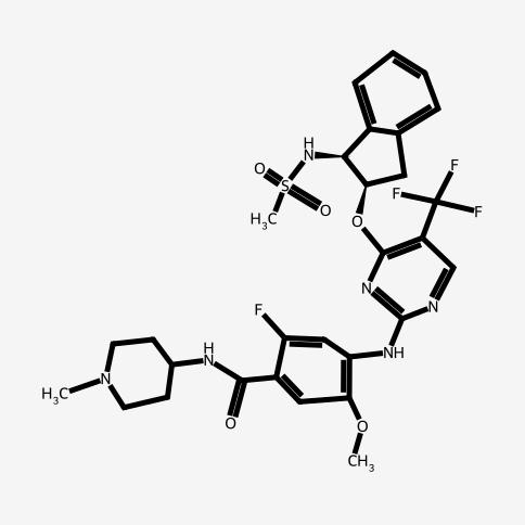 COc1cc(C(=O)NC2CCN(C)CC2)c(F)cc1Nc1ncc(C(F)(F)F)c(O[C@@H]2Cc3ccccc3[C@@H]2NS(C)(=O)=O)n1